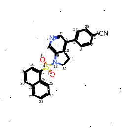 N#Cc1ccc(-c2cncc3c2CCN3S(=O)(=O)c2cccc3ccccc23)cc1